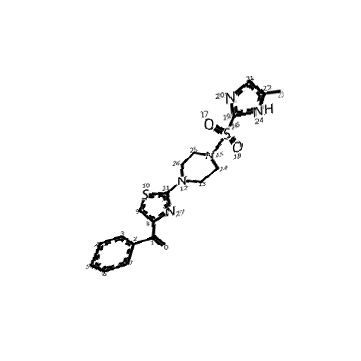 C=C(c1ccccc1)c1csc(N2CCN(S(=O)(=O)c3ncc(C)[nH]3)CC2)n1